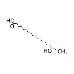 CCCC(O)CCCCCCCCCCCCCCCC(=O)O